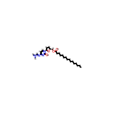 CCCCCCCCCCCCCCCC(=O)OC[C@@H]1CC[C@H](n2ccc(N=CN(C)C)nc2=O)O1